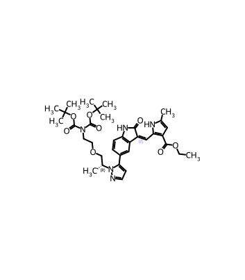 CCOC(=O)c1cc(C)[nH]c1/C=C1\C(=O)Nc2ccc(-c3ccnn3[C@H](C)COCCN(C(=O)OC(C)(C)C)C(=O)OC(C)(C)C)cc21